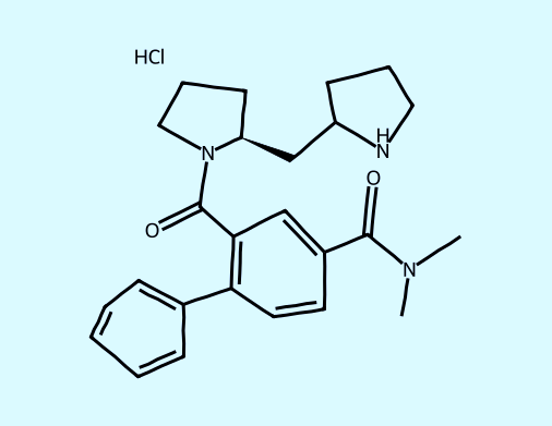 CN(C)C(=O)c1ccc(-c2ccccc2)c(C(=O)N2CCC[C@H]2CC2CCCN2)c1.Cl